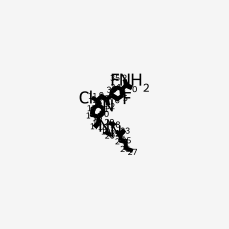 C=C(N)c1c(F)cc(-c2cc(Cl)c3ccc(C(=C)N4CCN(C(=C)CCCC)CC4)cc3n2)cc1F